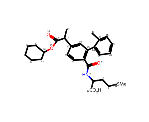 CSCCC(NC(=O)c1ccc(C(C)C(=O)OC2CCCCC2)cc1-c1ccccc1C)C(=O)O